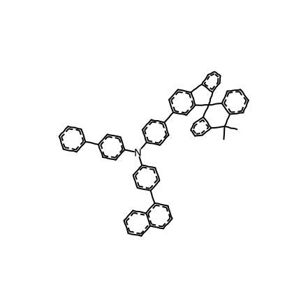 CC1(C)c2ccccc2C2(c3ccccc3-c3ccc(-c4ccc(N(c5ccc(-c6ccccc6)cc5)c5ccc(-c6cccc7ccccc67)cc5)cc4)cc32)c2ccccc21